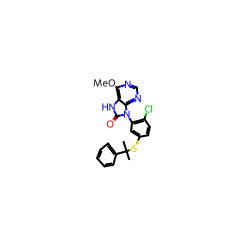 COc1ncnc2c1[nH]c(=O)n2-c1cc(SC(C)(C)c2ccccc2)ccc1Cl